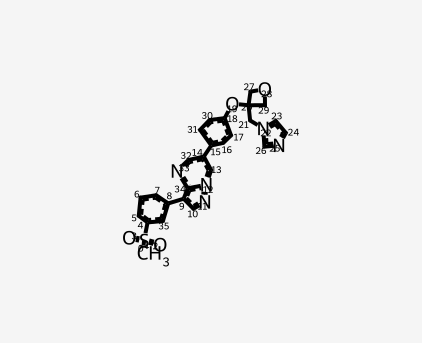 CS(=O)(=O)c1cccc(-c2cnn3cc(-c4ccc(OC5(Cn6ccnc6)COC5)cc4)cnc23)c1